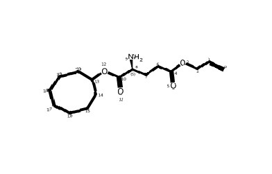 C=CCOC(=O)CC[C@H](N)C(=O)OC1CCCCCCC1